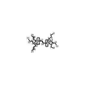 CCCC[Si](CCCC)(CCCC)OC(=O)/C=C/C(=O)O[Si](CCCC)(CCCC)CCCC